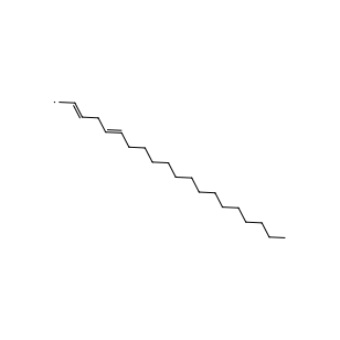 [CH2]C=CCC=CCCCCCCCCCCCCCC